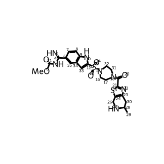 COC(=O)NC(=N)c1ccc2[nH]c(S(=O)(=O)N3CCN(C(=O)c4nc5c(s4)CNC(C)C5)CC3)cc2c1